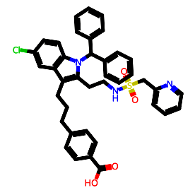 O=C(O)c1ccc(CCCc2c(CCNS(=O)(=O)Cc3ccccn3)n(C(c3ccccc3)c3ccccc3)c3ccc(Cl)cc23)cc1